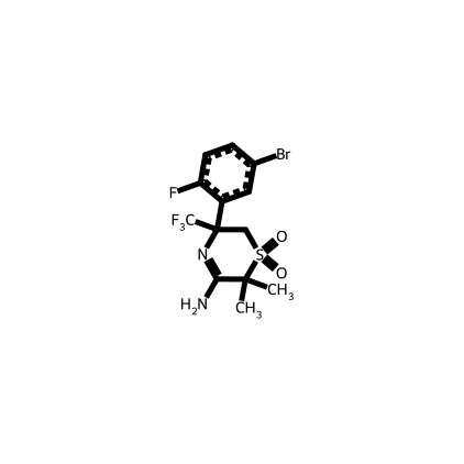 CC1(C)C(N)=NC(c2cc(Br)ccc2F)(C(F)(F)F)CS1(=O)=O